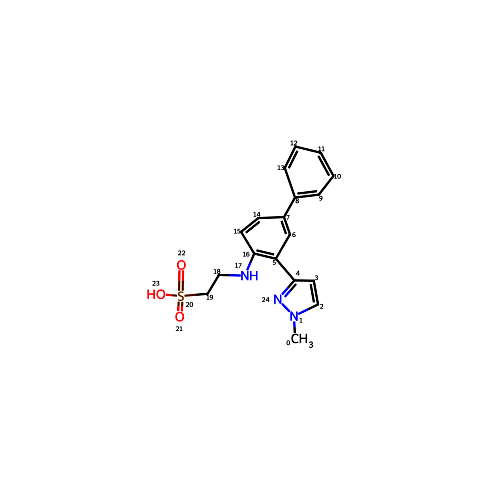 Cn1ccc(-c2cc(-c3ccccc3)ccc2NCCS(=O)(=O)O)n1